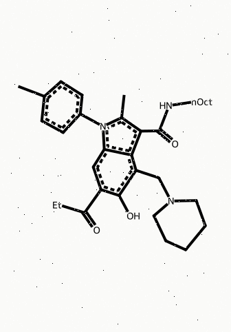 CCCCCCCCNC(=O)c1c(C)n(-c2ccc(C)cc2)c2cc(C(=O)CC)c(O)c(CN3CCCCC3)c12